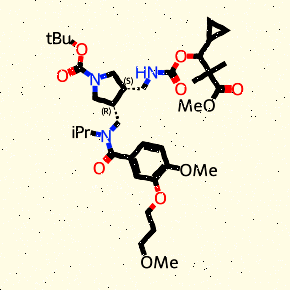 COCCCOc1cc(C(=O)N(C[C@@H]2CN(C(=O)OC(C)(C)C)C[C@@H]2CNC(=O)OC(C2CC2)C(C)(C)C(=O)OC)C(C)C)ccc1OC